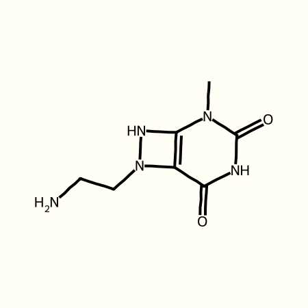 Cn1c(=O)[nH]c(=O)c2c1[nH]n2CCN